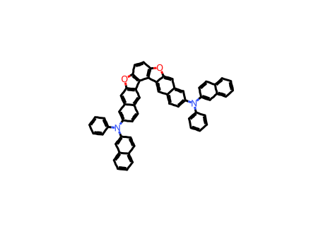 c1ccc(N(c2ccc3ccccc3c2)c2ccc3cc4c(cc3c2)oc2ccc3oc5cc6cc(N(c7ccccc7)c7ccc8ccccc8c7)ccc6cc5c3c24)cc1